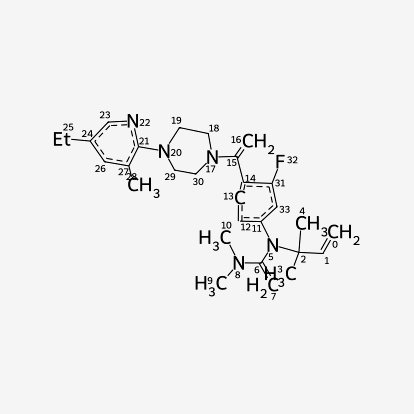 C=CC(C)(C)N(C(=C)N(C)C)c1ccc(C(=C)N2CCN(c3ncc(CC)cc3C)CC2)c(F)c1